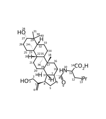 C=C(CO)[C@@H]1CC[C@]2(C(=O)NC(CC(C)C)C(=O)O)CC[C@]3(C)[C@H](CC[C@@H]4[C@@]5(C)CC[C@H](O)C(C)(C)[C@@H]5CC[C@]43C)[C@@H]12